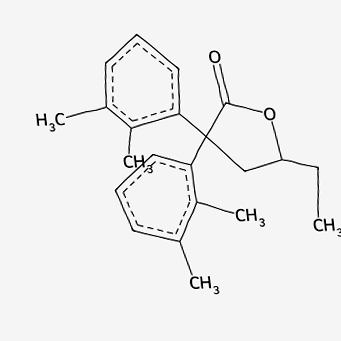 CCC1CC(c2cccc(C)c2C)(c2cccc(C)c2C)C(=O)O1